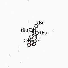 CC(C)(C)c1ccc(N2c3ccc(C(C)(C)C)cc3B3c4ccc(N(c5ccccc5)c5ccccc5-c5ccccc5)cc4N(c4cccc5c4C(C)(C)c4ccccc4-5)c4cc(C(C)(C)C)cc2c43)cc1